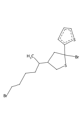 CC(CCCCBr)C1CSC(Br)(c2cccs2)C1